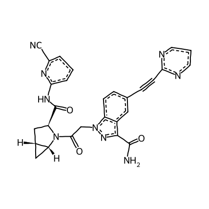 N#Cc1cccc(NC(=O)[C@@H]2C[C@H]3C[C@H]3N2C(=O)Cn2nc(C(N)=O)c3cc(C#Cc4ncccn4)ccc32)n1